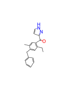 CCc1cc(Cc2ccccc2)c(C)cc1C(=O)c1cc[nH]n1